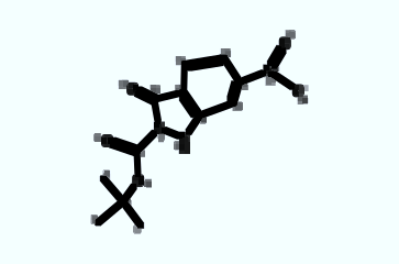 CC(C)(C)OC(=O)n1[nH]c2cc([N+](=O)[O-])ccc2c1=O